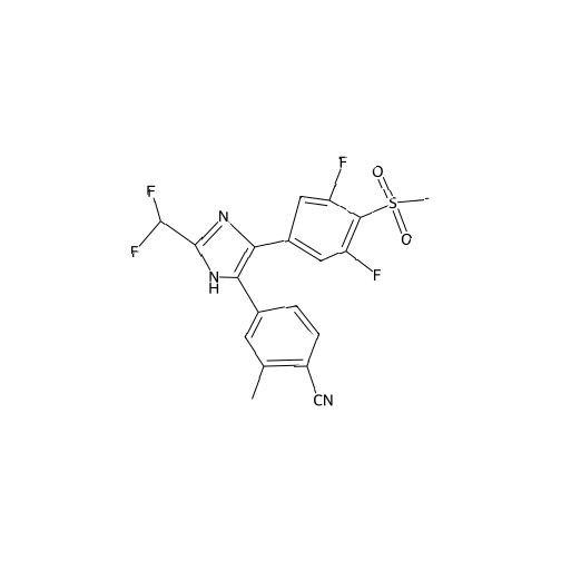 Cc1cc(-c2[nH]c(C(F)F)nc2-c2cc(F)c(S(C)(=O)=O)c(F)c2)ccc1C#N